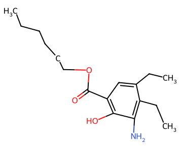 CCCCCCOC(=O)c1cc(CC)c(CC)c(N)c1O